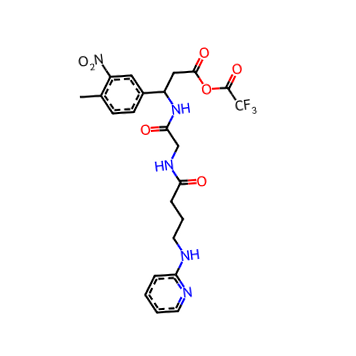 Cc1ccc(C(CC(=O)OC(=O)C(F)(F)F)NC(=O)CNC(=O)CCCNc2ccccn2)cc1[N+](=O)[O-]